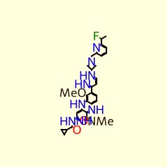 CNC(=O)C(=N)/C(=C\C(=N)NC(=O)C1CC1)Nc1cccc(C(=N)/C=C\NC2CN(Cc3cccc(C(C)F)n3)C2)c1OC